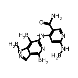 BNc1cc(Nc2nc(B)c3cnn(B)c3c2B)c(C(N)=O)cn1